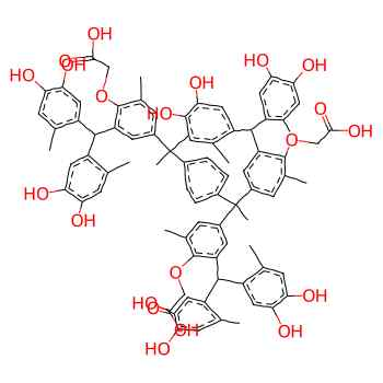 Cc1cc(O)c(O)cc1C(c1cc(O)c(O)cc1C)c1cc(C(C)(C)c2ccc(C(C)(c3cc(C)c(OCC(=O)O)c(C(c4cc(O)c(O)cc4C)c4cc(O)c(O)cc4C)c3)c3cc(C)c(OCC(=O)O)c(C(c4cc(O)c(O)cc4C)c4cc(O)c(O)cc4C)c3)cc2)cc(C)c1OCC(=O)O